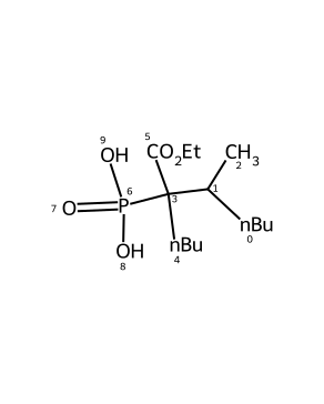 CCCCC(C)C(CCCC)(C(=O)OCC)P(=O)(O)O